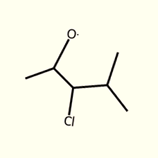 CC(C)C(Cl)C(C)[O]